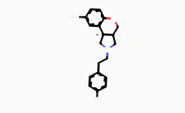 CC(=O)Nc1ccc(CCN2C[C@@H]3COc4ccc(C#N)cc4[C@H]3C2)cc1.Cl